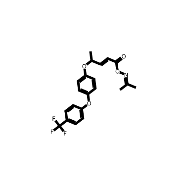 CC(C)=NOC(=O)/C=C/C(C)Oc1ccc(Oc2ccc(C(F)(F)F)cc2)cc1